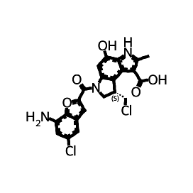 Cc1[nH]c2c(O)cc3c(c2c1C(=O)O)[C@H](CCl)CN3C(=O)c1cc2cc(Cl)cc(N)c2o1